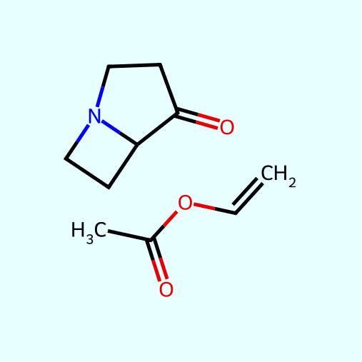 C=COC(C)=O.O=C1CCN2CCC12